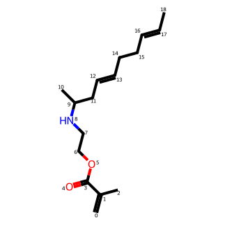 C=C(C)C(=O)OCCNC(C)CC=CCCC=CC